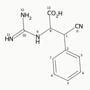 N#CC(c1ccccc1)C(NC(=N)N)C(=O)O